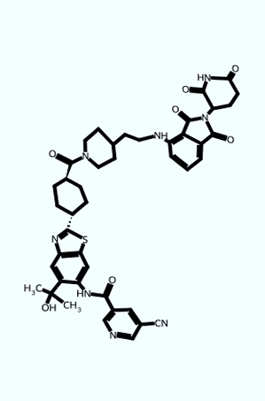 CC(C)(O)c1cc2nc([C@H]3CC[C@H](C(=O)N4CCC(CCNc5cccc6c5C(=O)N(C5CCC(=O)NC5=O)C6=O)CC4)CC3)sc2cc1NC(=O)c1cncc(C#N)c1